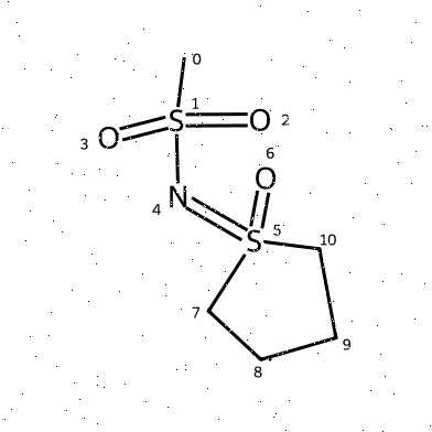 CS(=O)(=O)N=S1(=O)C[CH]CC1